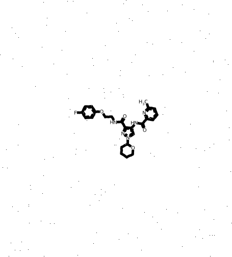 Cc1cccc(C(=O)Nc2cn(C3CCCCO3)nc2C(=O)NCCOc2ccc(F)cc2)n1